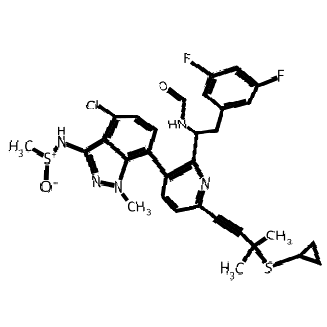 Cn1nc(N[S+](C)[O-])c2c(Cl)ccc(-c3ccc(C#CC(C)(C)SC4CC4)nc3C(Cc3cc(F)cc(F)c3)NC=O)c21